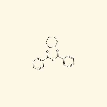 C1CCCCC1.O=C(OC(=O)c1ccccc1)c1ccccc1